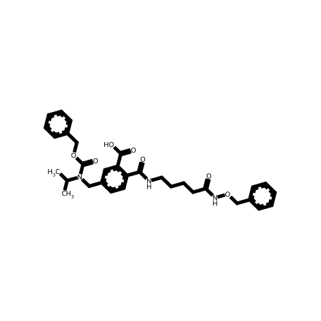 CC(C)N(Cc1ccc(C(=O)NCCCCC(=O)NOCc2ccccc2)c(C(=O)O)c1)C(=O)OCc1ccccc1